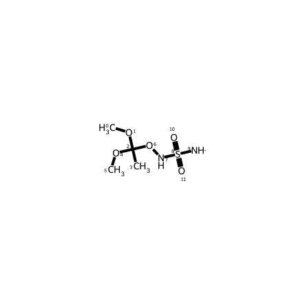 COC(C)(OC)ONS([NH])(=O)=O